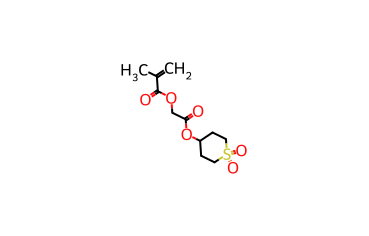 C=C(C)C(=O)OCC(=O)OC1CCS(=O)(=O)CC1